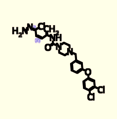 C=C(/C=C\C(Cl)=N/N)NC(=O)N1CCN(Cc2cccc(Oc3ccc(Cl)c(Cl)c3)c2)CC1